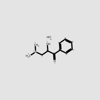 CN(C)CC(O)C(=O)c1ccccc1.Cl